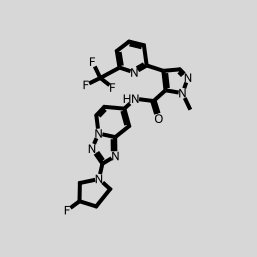 Cn1ncc(-c2cccc(C(F)(F)F)n2)c1C(=O)Nc1ccn2nc(N3CCC(F)C3)nc2c1